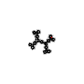 C1=CC2c3ccccc3N(c3ccc(-c4cc(-c5ccc(-c6cc(-c7ccc(-n8c9ccccc9c9ccccc98)cc7)nc(-c7ccc(-n8c9ccccc9c9ccccc98)cc7)c6)cc5)cc(-c5ccc(-n6c7ccccc7c7ccccc76)cc5)n4)cc3)C2C=C1